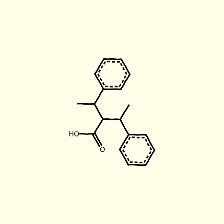 CC(c1ccccc1)C(C(=O)O)C(C)c1ccccc1